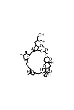 C=C1C2C[C@@H]3OC(CC(O)CO)[C@H](OC)C3CC(=O)CC3CCC4O[C@@H]5C6O[C@@H]7C[C@](CCC8CC(C)[C@H](CC[C@@H](C[C@H]1C)O2)O8)(OC6[C@H]4O3)OC57